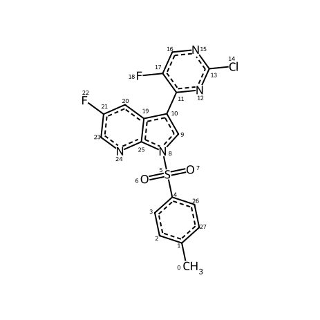 Cc1ccc(S(=O)(=O)n2cc(-c3nc(Cl)ncc3F)c3cc(F)cnc32)cc1